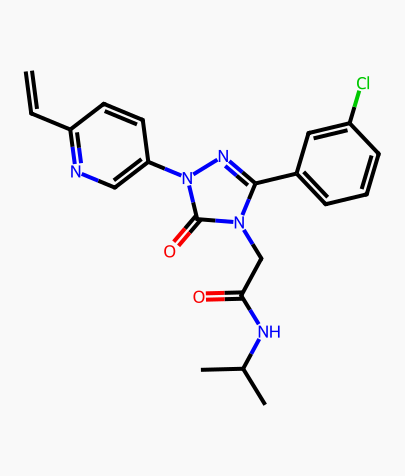 C=Cc1ccc(-n2nc(-c3cccc(Cl)c3)n(CC(=O)NC(C)C)c2=O)cn1